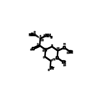 CCCC[C@H](N)C(=O)N(CCC(C)C)CC(OCC)OCC